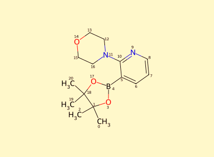 CC1(C)OB(c2cccnc2N2CCOCC2)OC1(C)C